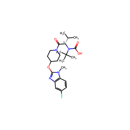 CC(C)[C@@H](C(=O)N1CCC(Oc2nc3cc(F)ccc3n2C)CC1)N(C(=O)O)C(C)(C)C